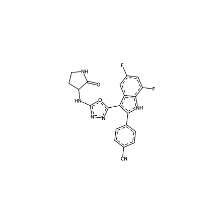 N#Cc1ccc(-c2[nH]c3c(F)cc(F)cc3c2-c2nnc(NC3CCNC3=O)o2)cc1